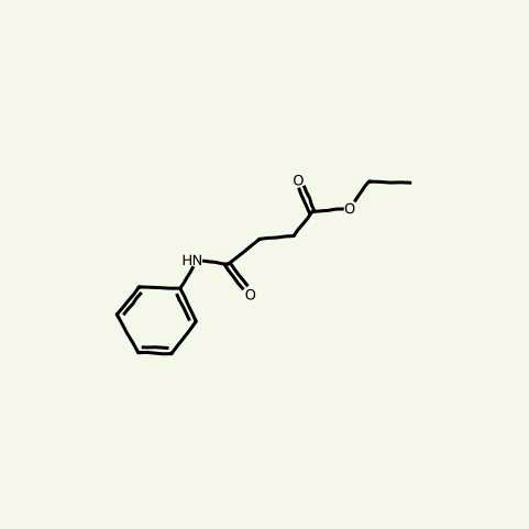 CCOC(=O)CCC(=O)Nc1ccccc1